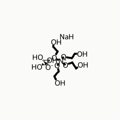 OCCO[N+](OCCO)(OCCO)OCCO.[NaH].[O-][Si](O)(O)O